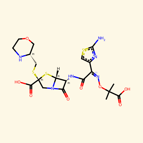 CC(C)(O/N=C(\C(=O)N[C@@H]1C(=O)N2C[C@](SC[C@H]3COCCN3)(C(=O)O)S[C@H]12)c1csc(N)n1)C(=O)O